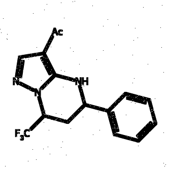 CC(=O)c1cnn2c1NC(c1ccccc1)CC2C(F)(F)F